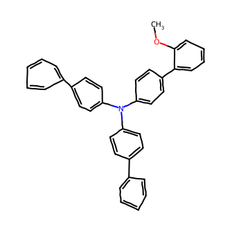 COc1ccccc1-c1ccc(N(c2ccc(-c3ccccc3)cc2)c2ccc(-c3ccccc3)cc2)cc1